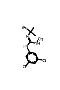 CC(C)C(C)(C)/N=C(\NC#N)Nc1cc(Cl)cc(Cl)c1